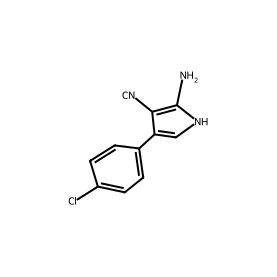 [C-]#[N+]c1c(-c2ccc(Cl)cc2)c[nH]c1N